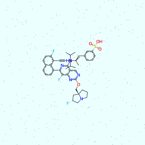 CC(C)[Si](C#Cc1c(F)ccc2cccc(-c3nc(NCCc4cccc(S(=O)(=O)O)c4)c4cnc(OC[C@@]56CCCN5C[C@H](F)C6)nc4c3F)c12)(C(C)C)C(C)C